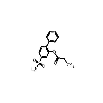 CCC(=O)Oc1cc(S(N)(=O)=O)ccc1-c1ccccc1